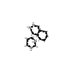 c1ccc2cnncc2c1.c1cncnc1